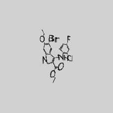 CCOC(=O)c1cnc2cc(OCC)c(Br)cc2c1Nc1ccc(F)cc1Cl